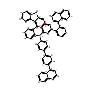 c1cc(-c2ccccc2-c2cccc3ccccc23)cc(N(c2ccc(-c3ccc(-c4cccc5ccccc45)cc3)cc2)c2ccccc2-c2cccc3oc4ccccc4c23)c1